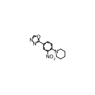 O=[N+]([O-])c1cc(-c2nnco2)ccc1N1CCCCC1